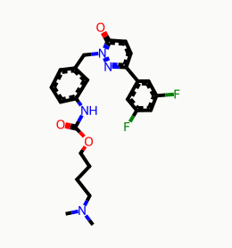 CN(C)CCCCOC(=O)Nc1cccc(Cn2nc(-c3cc(F)cc(F)c3)ccc2=O)c1